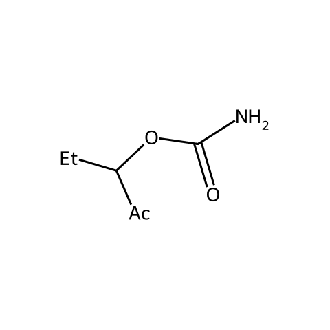 [CH2]CC(OC(N)=O)C(C)=O